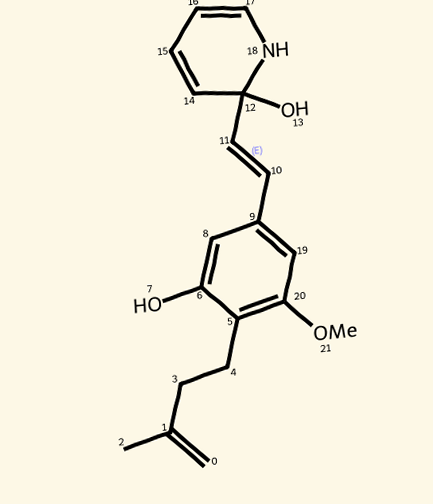 C=C(C)CCc1c(O)cc(/C=C/C2(O)C=CC=CN2)cc1OC